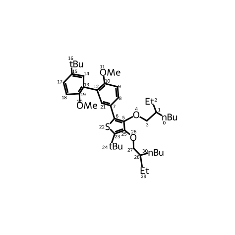 CCCCC(CC)COc1c(-c2ccc(OC)c(-c3cc(C(C)(C)C)ccc3OC)c2)sc(C(C)(C)C)c1OCC(CC)CCCC